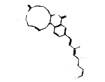 CC(/C=C/c1ccc2c(c1)C(=O)O[C@H]1CCCC(=O)O[C@@H](C(C)C)C/C=C/C[C@H]21)=C\[C@H](O)[C@@H](O)C[C@H](C)O